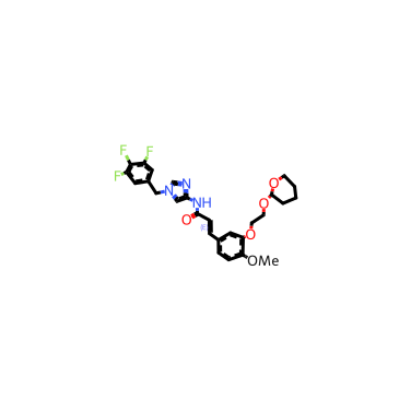 COc1ccc(/C=C/C(=O)Nc2cn(Cc3cc(F)c(F)c(F)c3)cn2)cc1OCCOC1CCCCO1